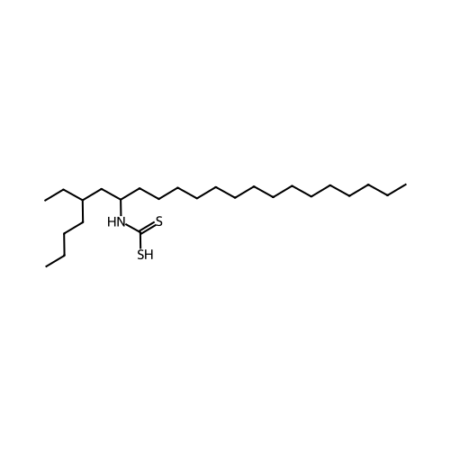 CCCCCCCCCCCCCCCC(CC(CC)CCCC)NC(=S)S